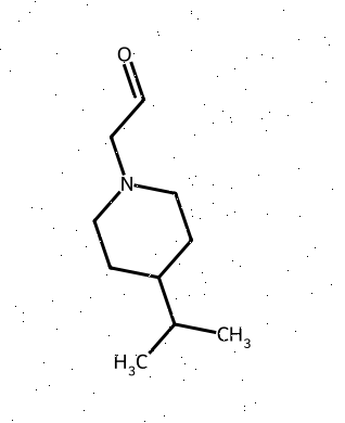 CC(C)C1CCN(CC=O)CC1